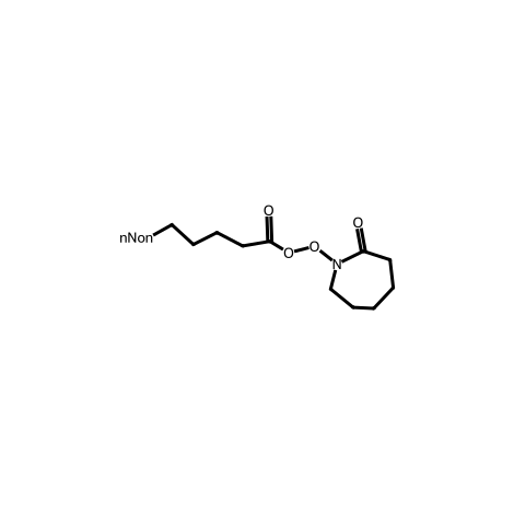 CCCCCCCCCCCCCC(=O)OON1CCCCCC1=O